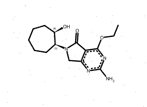 CCOc1nc(N)nc2c1C(=O)N([C@H]1CCCCC[C@H]1O)C2